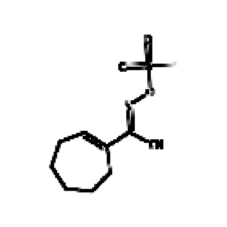 CS(=O)(=O)ON=C(C#N)C1=CCCCCC1